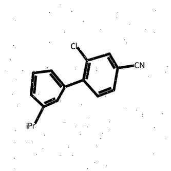 CC(C)c1cccc(-c2ccc(C#N)cc2Cl)c1